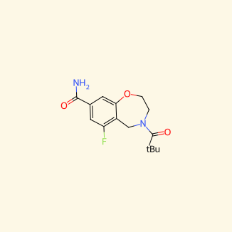 CC(C)(C)C(=O)N1CCOc2cc(C(N)=O)cc(F)c2C1